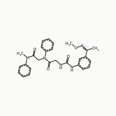 CO/N=C(/C)c1cccc(NC(=O)NCC(=O)N(CC(=O)N(C)c2ccccc2)c2ccccc2)c1